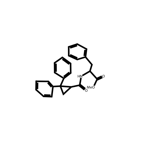 COC(=O)C(Cc1ccccc1)NC(=O)C1CC1(c1ccccc1)c1ccccc1